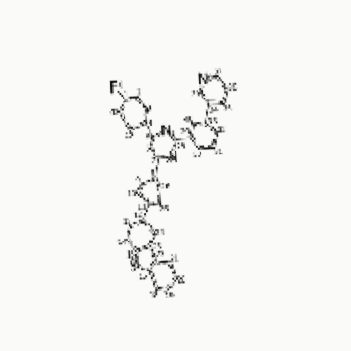 Fc1ccc(-c2cc(-c3ccc(-c4ccc5sc6ccccc6c5c4)cc3)nc(-c3cccc(-c4cccnc4)c3)n2)cc1